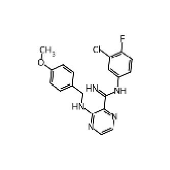 COc1ccc(CNc2nccnc2C(=N)Nc2ccc(F)c(Cl)c2)cc1